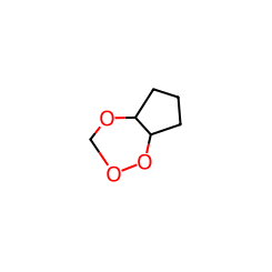 C1CC2OCOOC2C1